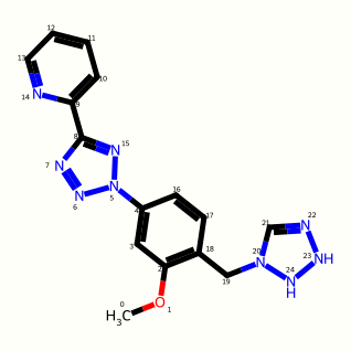 COc1cc(-n2nnc(-c3ccccn3)n2)ccc1CN1C=NNN1